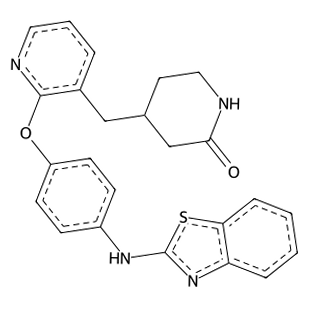 O=C1CC(Cc2cccnc2Oc2ccc(Nc3nc4ccccc4s3)cc2)CCN1